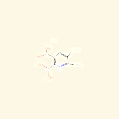 COc1nc(B(O)O)c(B(O)O)cc1C(=O)[O-].[Li+]